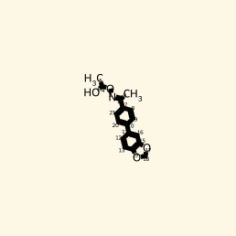 CC(=NOC(C)O)c1ccc(-c2ccc3c(c2)OCO3)cc1